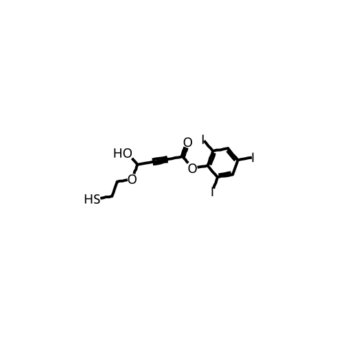 O=C(C#CC(O)OCCS)Oc1c(I)cc(I)cc1I